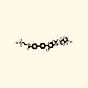 O=C(NCCS(=O)(=O)O)c1ccc(-c2ccc(-c3nc4nc(O[C@@H]5CO[C@H]6[C@@H]5OC[C@H]6O)[nH]c4cc3Cl)cc2)cc1